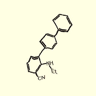 CCNc1c(C#N)cccc1-c1ccc(-c2ccccc2)cc1